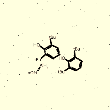 CC(C)(C)c1cccc(C(C)(C)C)c1O.CC(C)(C)c1cccc(C(C)(C)C)c1O.CCCCCCC[CH2][AlH2]